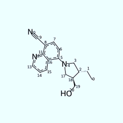 CC[C@H]1CN(c2ccc(C#N)c3ncccc23)C[C@@H]1CO